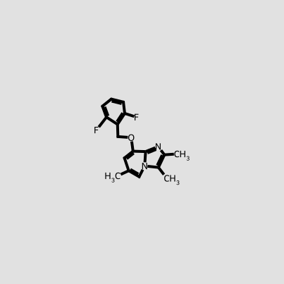 Cc1cc(OCc2c(F)cccc2F)c2nc(C)c(C)n2c1